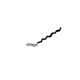 [CH2]CCCCCCCCCCCC=CCC=CC